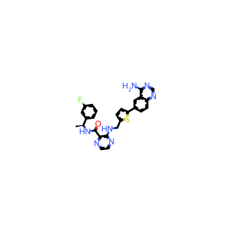 C[C@H](NC(=O)c1nccnc1NCc1ccc(-c2ccc3ncnc(N)c3c2)s1)c1cccc(F)c1